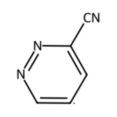 N#Cc1c[c]cnn1